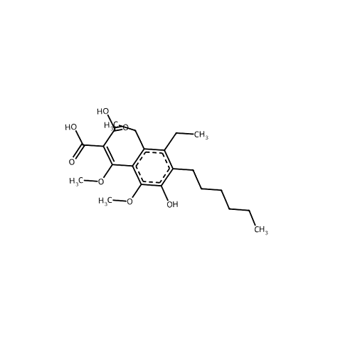 CCCCCCc1c(O)c(OC)c(C(OC)=C(C(=O)O)C(=O)O)c(CC)c1CC